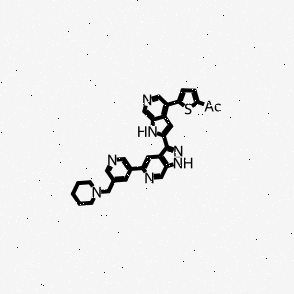 CC(=O)c1ccc(-c2cncc3[nH]c(-c4n[nH]c5cnc(-c6cncc(CN7CCCCC7)c6)cc45)cc23)s1